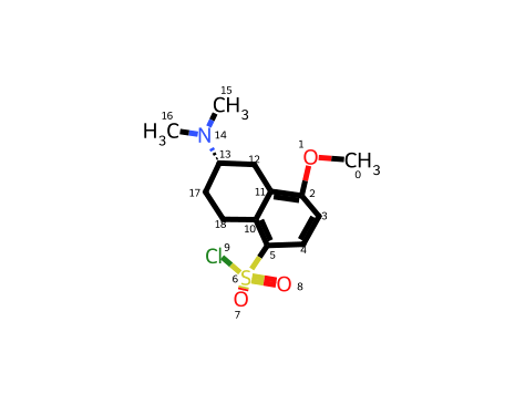 COc1ccc(S(=O)(=O)Cl)c2c1C[C@@H](N(C)C)CC2